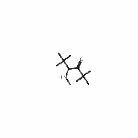 CN[C@H](C(=O)C(C)(C)C)C(C)(C)C